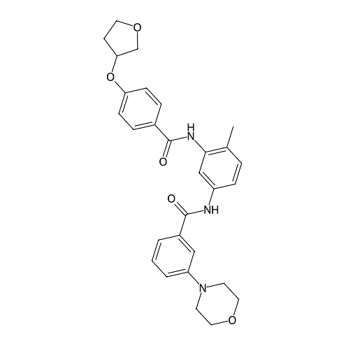 Cc1ccc(NC(=O)c2cccc(N3CCOCC3)c2)cc1NC(=O)c1ccc(OC2CCOC2)cc1